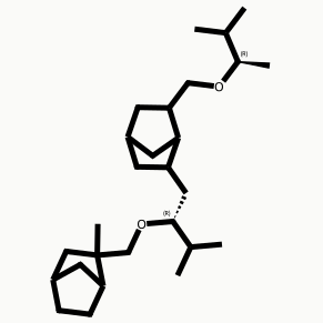 CC(C)[C@@H](C)OCC1CC2CC(C[C@@H](OCC3(C)CC4CCC3C4)C(C)C)C1C2